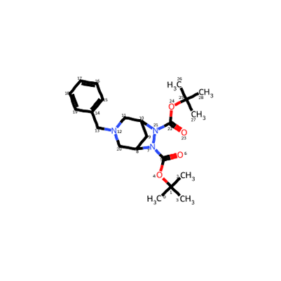 CC(C)(C)OC(=O)N1C2CC(CN(Cc3ccccc3)C2)N1C(=O)OC(C)(C)C